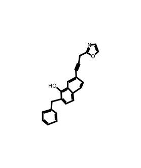 Oc1c(Cc2ccccc2)ccc2ccc(C#CCc3ncco3)cc12